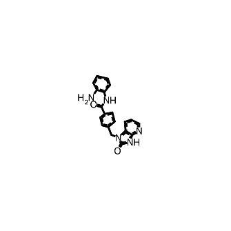 Nc1ccccc1NC(=O)c1ccc(Cn2c(=O)[nH]c3ncccc32)cc1